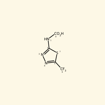 O=C(O)Nc1nnc(C(F)(F)F)s1